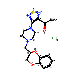 CNC(=O)c1nsnc1N1CCN(CC2COc3ccccc3O2)CC1.Cl